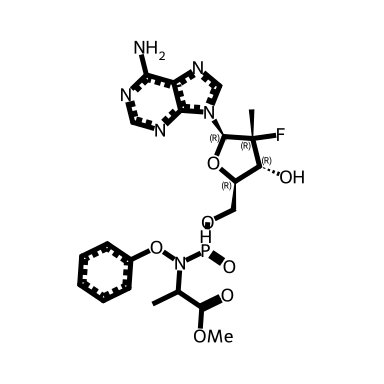 COC(=O)C(C)N(Oc1ccccc1)[PH](=O)OC[C@H]1O[C@@H](n2cnc3c(N)ncnc32)[C@](C)(F)[C@@H]1O